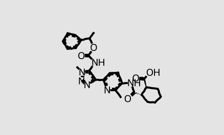 Cc1nc(-c2nnn(C)c2NC(=O)OC(C)c2ccccc2)ccc1NC(=O)[C@H]1CCCC[C@@H]1C(=O)O